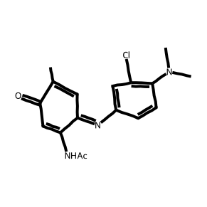 CC(=O)NC1=CC(=O)C(C)=CC1=Nc1ccc(N(C)C)c(Cl)c1